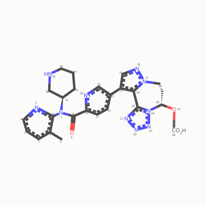 Cc1cccnc1N(C(=O)c1ccc(-c2cnn(C)c2-c2nnnn2[C@H](C)OC(=O)O)cn1)[C@@H]1CCCNC1